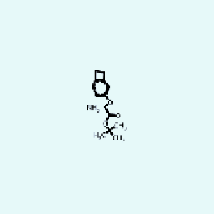 CC(C)(C)OC(=O)COc1ccc2c(c1)CC2.N